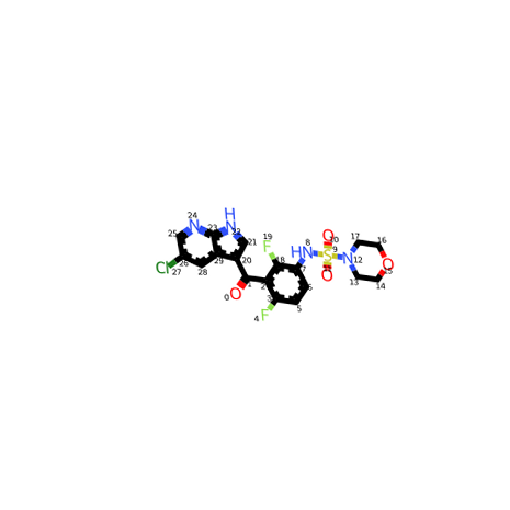 O=C(c1c(F)ccc(NS(=O)(=O)N2CCOCC2)c1F)c1c[nH]c2ncc(Cl)cc12